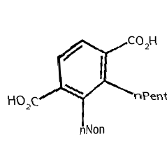 CCCCCCCCCc1c(C(=O)O)ccc(C(=O)O)c1CCCCC